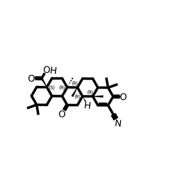 CC1(C)CC[C@]2(C(=O)O)CC[C@]3(C)C(C(=O)C[C@@H]4[C@@]5(C)C=C(C#N)C(=O)C(C)(C)C5CC[C@]43C)C2C1